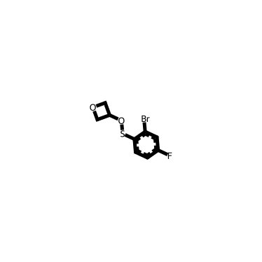 Fc1ccc(SOC2COC2)c(Br)c1